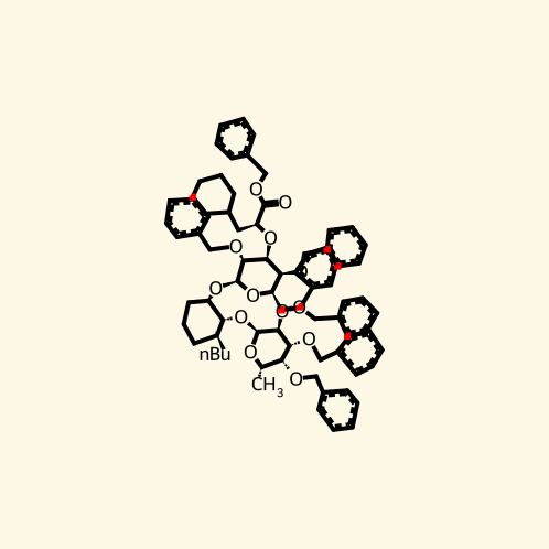 CCCC[C@H]1CCC[C@@H](O[C@@H]2O[C@H](COCc3ccccc3)[C@H](OCc3ccccc3)[C@H](O[C@@H](CC3CCCCC3)C(=O)OCc3ccccc3)[C@H]2OCc2ccccc2)[C@@H]1O[C@@H]1O[C@@H](C)[C@@H](OCc2ccccc2)[C@@H](OCc2ccccc2)[C@@H]1OCc1ccccc1